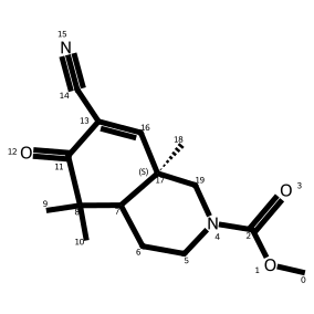 COC(=O)N1CCC2C(C)(C)C(=O)C(C#N)=C[C@@]2(C)C1